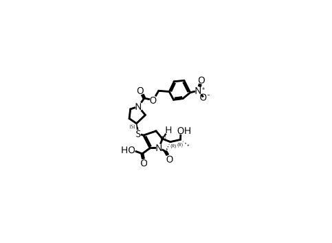 C[C@@H](O)[C@@H]1C(=O)N2C(C(=O)O)=C(S[C@H]3CCN(C(=O)OCc4ccc([N+](=O)[O-])cc4)C3)C[C@H]12